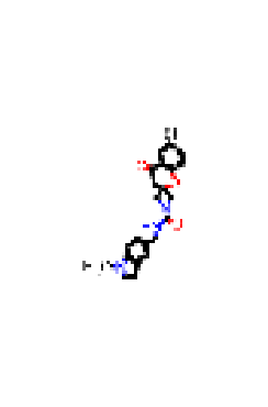 CCc1ccc2c(c1)C(=O)CC1(CN(C(=O)NCc3ccc4c(ccn4C)c3)C1)O2